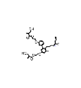 C=CC/C(F)=C\CCCc1c(C)cc(OCCOC(=O)C(=C)CO)cc1-c1cccc(OCCOC(=O)C(=C)CO)c1